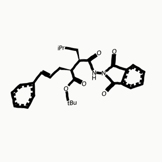 CC(C)C[C@@H](C(=O)NN1C(=O)c2ccccc2C1=O)[C@H](C/C=C/c1ccccc1)C(=O)OC(C)(C)C